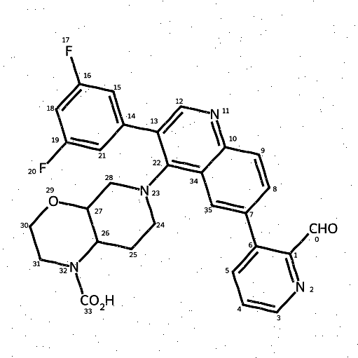 O=Cc1ncccc1-c1ccc2ncc(-c3cc(F)cc(F)c3)c(N3CCC4C(C3)OCCN4C(=O)O)c2c1